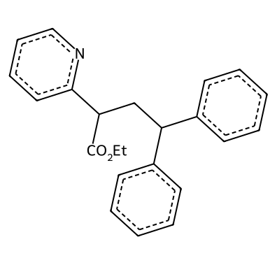 CCOC(=O)C(CC(c1ccccc1)c1ccccc1)c1ccccn1